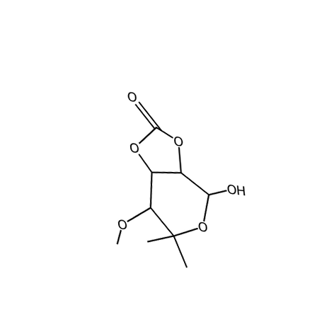 COC1C2OC(=O)OC2C(O)OC1(C)C